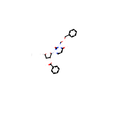 O=C(O[C@H]1C[C@@H](C(=O)O)O[C@H]1n1ccc(=O)n(COCc2ccccc2)c1=O)c1ccccc1